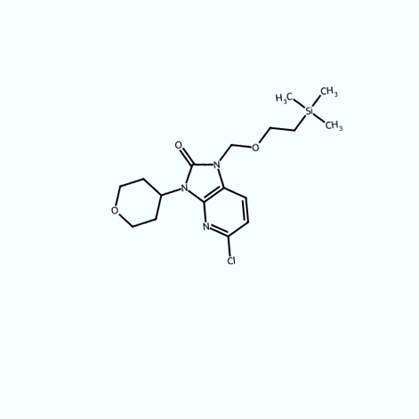 C[Si](C)(C)CCOCn1c(=O)n(C2CCOCC2)c2nc(Cl)ccc21